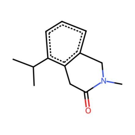 CC(C)c1cccc2c1CC(=O)N(C)C2